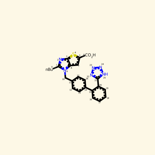 CCCCc1nc2sc(C(=O)O)cc2n1Cc1ccc(-c2ccccc2-c2nnn[nH]2)cc1